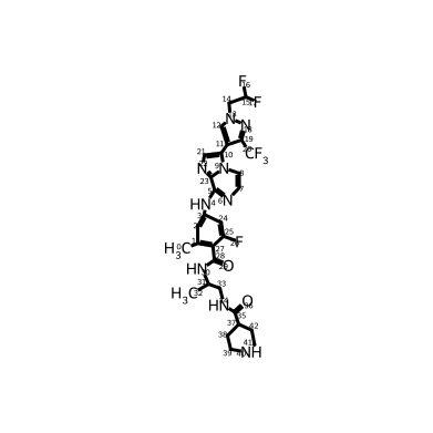 Cc1cc(Nc2nccn3c(-c4cn(CC(F)F)nc4C(F)(F)F)cnc23)cc(F)c1C(=O)NC(C)CNC(=O)C1CCNCC1